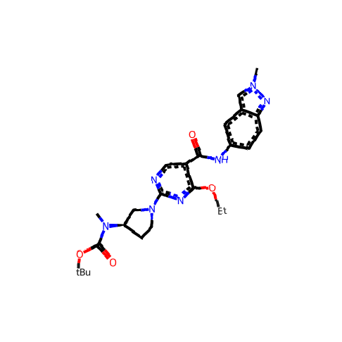 CCOc1nc(N2CC[C@@H](N(C)C(=O)OC(C)(C)C)C2)ncc1C(=O)Nc1ccc2nn(C)cc2c1